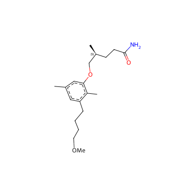 COCCCCc1cc(C)cc(OC[C@@H](C)CCC(N)=O)c1C